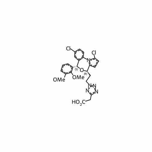 COc1cccc([C@H]2O[C@H](CCn3nnc(CC(=O)O)n3)c3ccc(Cl)n3-c3ccc(Cl)cc32)c1OC